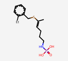 CCc1ccccc1CSC(C)=CCCCNP(=O)(O)O